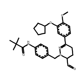 COc1ccc(C2=NN(Cc3ccc(NC(=O)C(C)(C)C)cc3)C(C=O)CC2)cc1OC1CCCC1